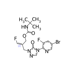 CC(C)(C)NC(=O)OC/C(=C\F)Cn1ncn(-c2ncc(Br)cc2F)c1=O